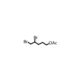 CC(=O)OCCCC(Br)CBr